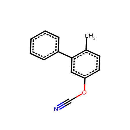 Cc1ccc(OC#N)cc1-c1ccccc1